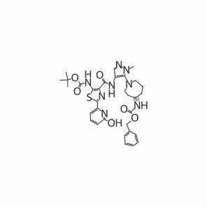 Cn1ncc(NC(=O)c2nc(-c3cccc(O)n3)sc2NC(=O)OC(C)(C)C)c1N1CCC[C@H](NC(=O)OCc2ccccc2)CC1